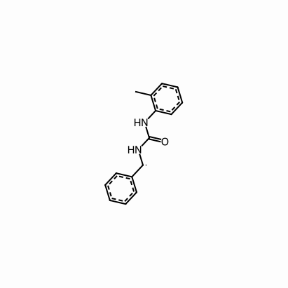 Cc1ccccc1NC(=O)N[CH]c1ccccc1